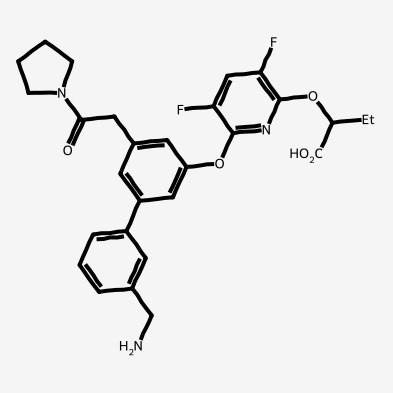 CCC(Oc1nc(Oc2cc(CC(=O)N3CCCC3)cc(-c3cccc(CN)c3)c2)c(F)cc1F)C(=O)O